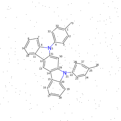 Cc1ccc(-n2c3ccccc3c3cc4c5ccccc5n(-c5ccc(C)cc5)c4cc32)cc1